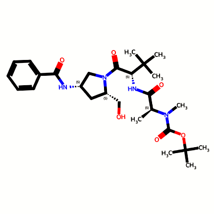 C[C@@H](C(=O)N[C@H](C(=O)N1C[C@@H](NC(=O)c2ccccc2)C[C@H]1CO)C(C)(C)C)N(C)C(=O)OC(C)(C)C